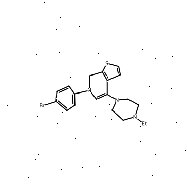 CCN1CCN(C2=CN(c3ccc(Br)cc3)Cc3sccc32)CC1